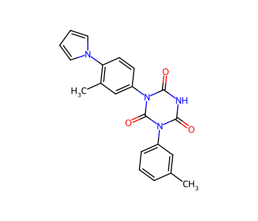 Cc1cccc(-n2c(=O)[nH]c(=O)n(-c3ccc(-n4cccc4)c(C)c3)c2=O)c1